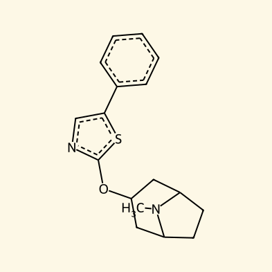 CN1C2CCC1CC(Oc1ncc(-c3ccccc3)s1)C2